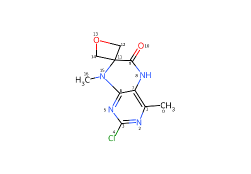 Cc1nc(Cl)nc2c1NC(=O)C1(COC1)N2C